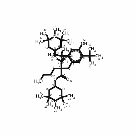 CCCCC(Cc1cc(C(C)(C)C)c(O)cc1C(C)(C)C)(C(=O)OC1CC(C)(C)N(C)C(C)(C)C1)C(=O)OC1CC(C)(C)N(C)C(C)(C)C1